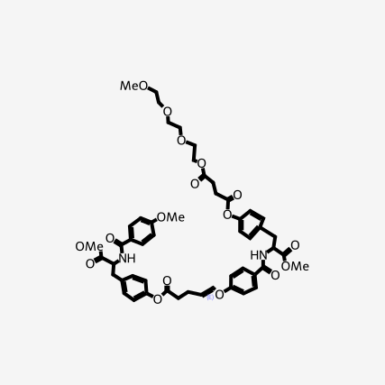 COCCOCCOCCOC(=O)CCC(=O)Oc1ccc(CC(NC(=O)c2ccc(O/C=C/CCC(=O)Oc3ccc(CC(NC(=O)c4ccc(OC)cc4)C(=O)OC)cc3)cc2)C(=O)OC)cc1